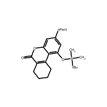 CCCCCc1cc(O[Si](C)(C)C(C)(C)C)c2c3c(c(=O)oc2c1)CCCC3